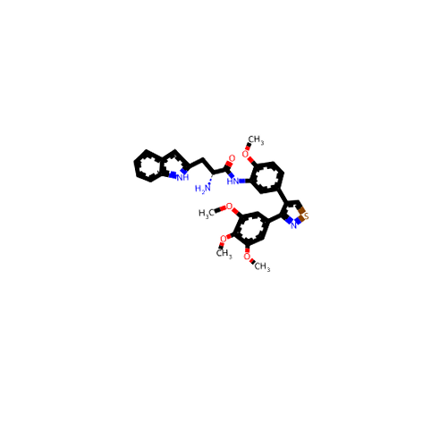 COc1ccc(-c2csnc2-c2cc(OC)c(OC)c(OC)c2)cc1NC(=O)[C@H](N)Cc1cc2ccccc2[nH]1